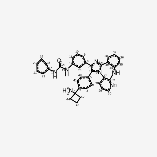 NC1(c2ccc(-c3c(-c4cccc(NC(=O)Nc5ccccc5)c4)nc4n3-c3cccnc3Nc3ccccc3-4)cc2)CCC1